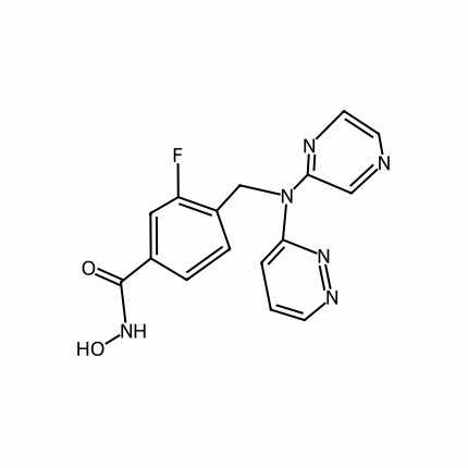 O=C(NO)c1ccc(CN(c2cnccn2)c2cccnn2)c(F)c1